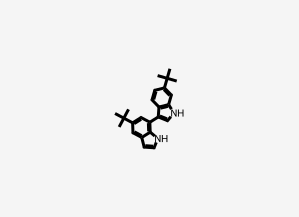 CC(C)(C)c1cc(-c2c[nH]c3cc(C(C)(C)C)ccc23)c2[nH]ccc2c1